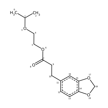 CC(C)OCCOC(=O)CCc1ccc2c(c1)OCO2